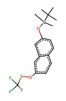 CC(C)(C)[Si](C)(C)Oc1ccc2ccc(OSC(F)(F)F)cc2c1